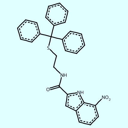 O=C(NCCSC(c1ccccc1)(c1ccccc1)c1ccccc1)c1cc2cccc([N+](=O)[O-])c2[nH]1